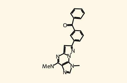 CNc1nc2cc(-c3cccc(C(=O)c4ccccc4)c3)nn2c2c1ncn2C